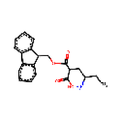 CCC(N)CC(C(=O)O)C(=O)OCC1c2ccccc2-c2ccccc21